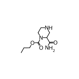 CCCOC(=O)N1CCNCC1C(N)=O